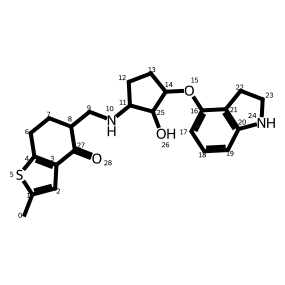 Cc1cc2c(s1)CCC(CNC1CCC(Oc3cccc4c3CCN4)C1O)C2=O